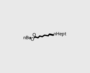 CCCCCCC/C=C/CCCCCC(=O)OCCCC